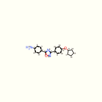 Nc1ccc(-c2nc(-c3ccc(OC4CCCC4)cc3)no2)cc1